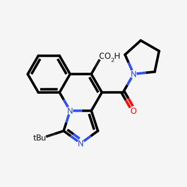 CC(C)(C)c1ncc2c(C(=O)N3CCCC3)c(C(=O)O)c3ccccc3n12